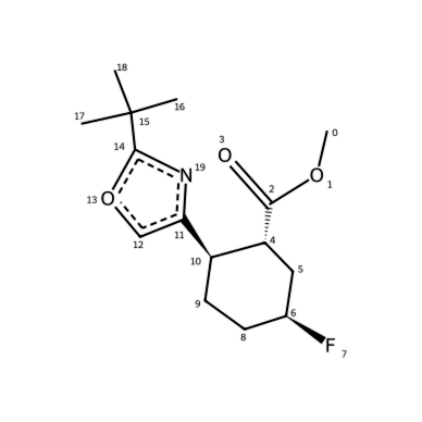 COC(=O)[C@@H]1C[C@@H](F)CC[C@H]1c1coc(C(C)(C)C)n1